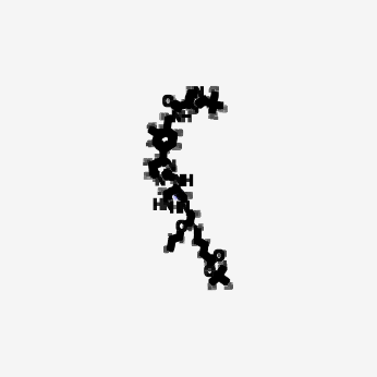 CCCO[C@@H](CCCCC(=O)OC(C)(C)C)CN/C=C(\C=N)Nc1nccc(-c2ccc(CNC(=O)c3cnc(C(C)(C)C)s3)c(C)c2)n1